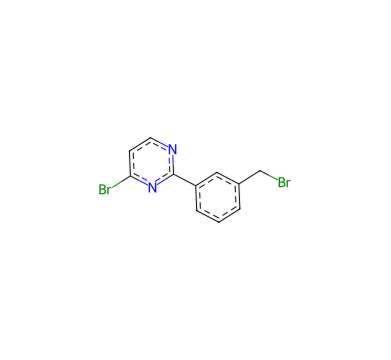 BrCc1cccc(-c2nccc(Br)n2)c1